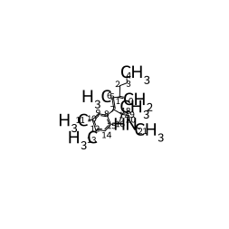 C=C(CCC)/C(C)=C1/c2cc(C)c(C)cc2CC1(C)CNC